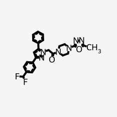 Cc1nnc(N2CCN(C(=O)Cn3nc(-c4ccc(C(F)F)cc4)cc3-c3ccccc3)CC2)o1